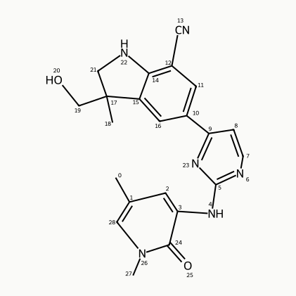 Cc1cc(Nc2nccc(-c3cc(C#N)c4c(c3)C(C)(CO)CN4)n2)c(=O)n(C)c1